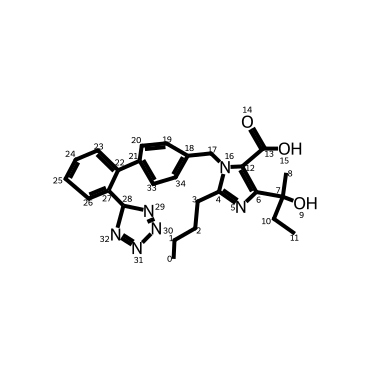 CCCCc1nc(C(C)(O)CC)c(C(=O)O)n1Cc1ccc(-c2ccccc2C2N=NN=N2)cc1